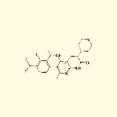 Cc1nc(NC(C)c2cccc(C(F)F)c2F)c2cc(C3CCSCC3)c(=O)[nH]c2n1